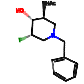 CC(=O)N[C@H]1CN(Cc2ccccc2)C[C@H](F)[C@@H]1O